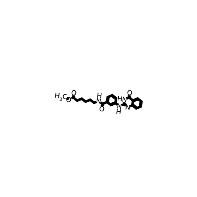 COC(=O)CCCCCNC(=O)c1cccc(Nc2nc3ccccc3c(=O)[nH]2)c1